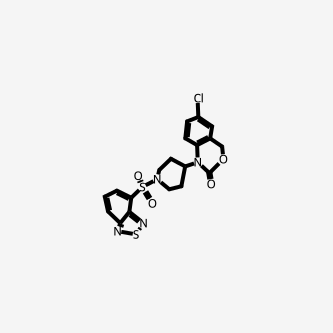 O=C1OCc2cc(Cl)ccc2N1C1CCN(S(=O)(=O)c2cccc3nsnc23)CC1